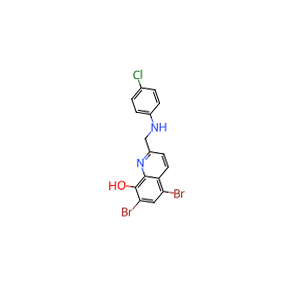 Oc1c(Br)cc(Br)c2ccc(CNc3ccc(Cl)cc3)nc12